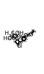 C[C@H]1[C@H](O)[C@@H](O)[C@H](c2ccc(Cl)c(Cc3ccc(OCCOC4CC4)cc3)c2)O[C@@H]1CO